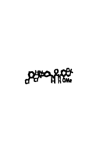 COc1c(NC(=O)Nc2ccc3[nH]c(-c4cccc(Cl)c4Cl)nc3c2)ccc2c1C=CC(C)(C)O2